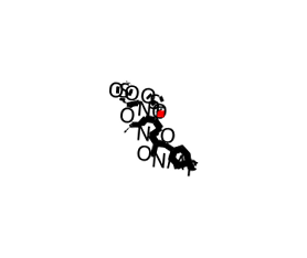 CNC(=O)c1c(-c2ccc(F)cc2)oc2c(F)c3c(nc12)[C@H](C)O[C@H](CS(C)(=O)=O)CN3S(C)(=O)=O